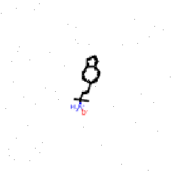 CC(C)(C=Cc1ccc2cccc-2cc1)[NH2+][O-]